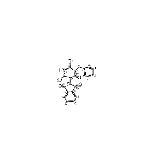 O=C1NC(=O)N(Cc2ccccc2)C(=O)C1C1C(=O)c2ccccc2C1=O